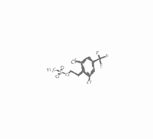 CS(=O)(=O)OCCc1c(Cl)cc(C(F)(F)F)cc1Cl